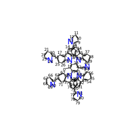 Cc1c(-n2c3ccc(-c4ccccn4)cc3c3cc(-c4ccccn4)ccc32)c(-n2c3ccccc3c3ccccc32)c(C#N)c(-n2c3ccccc3c3ccccc32)c1-n1c2ccc(-c3ccccn3)cc2c2cc(-c3ccccn3)ccc21